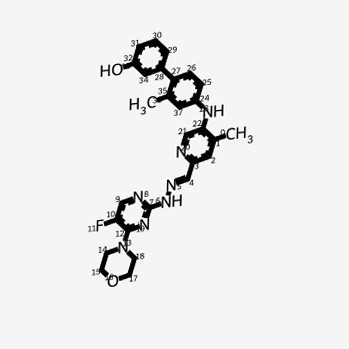 Cc1cc(/C=N/Nc2ncc(F)c(N3CCOCC3)n2)ncc1Nc1ccc(-c2cccc(O)c2)c(C)c1